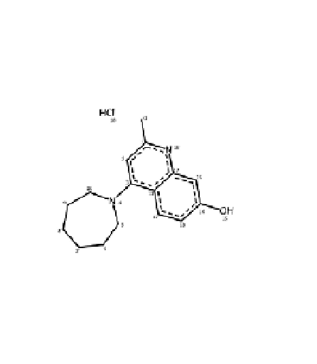 Cc1cc(N2CCCCCC2)c2ccc(O)cc2n1.Cl